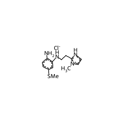 CSc1ccc(N)c(NCCc2[nH]cc[n+]2C)c1.[Cl-]